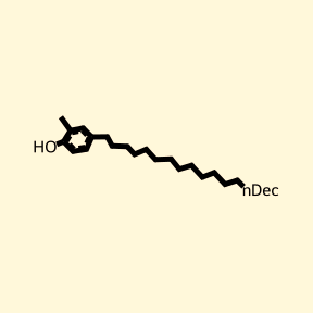 CCCCCCCCCCCCCCCCCCCCCCCc1ccc(O)c(C)c1